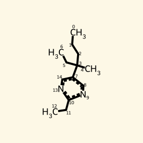 CCCC(C)(CC)c1cnc(CC)nc1